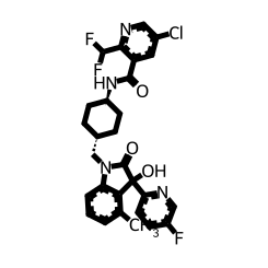 Cc1cccc2c1C(O)(c1ccc(F)cn1)C(=O)N2C[C@H]1CC[C@H](NC(=O)c2cc(Cl)cnc2C(F)F)CC1